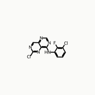 Fc1c(Cl)cccc1Nc1ncnc2cnc(Cl)nc12